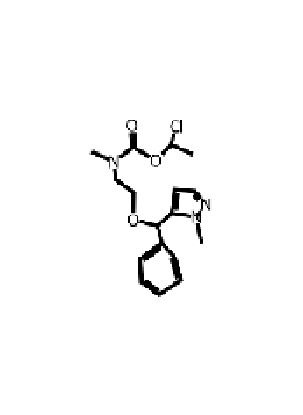 CC(Cl)OC(=O)N(C)CCOC(c1ccccc1)c1ccnn1C